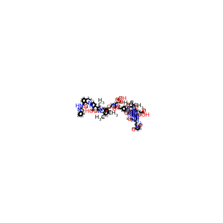 Cc1c(-c2ccc(N3CCc4cccc(C(=O)Nc5nc6ccccc6s5)c4C3)nc2C(=O)O)cnn1CC12CC3(C)CC(C)(C1)CC(OCCN(CCS(=O)(=O)O)C(=O)OCc1ccc(N(C(=O)[C@@H](NC(=O)[C@H](CCC(=O)O)NC(=O)CCCCCN4C(=O)C=CC4=O)C(C)C)[C@@H](CCCNC(N)=O)C(N)=O)cc1)(C3)C2